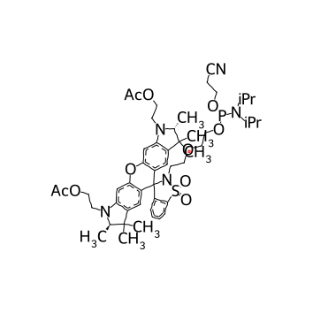 CC(=O)OCCN1c2cc3c(cc2C(C)(C)[C@H]1C)C1(c2cc4c(cc2O3)N(CCOC(C)=O)[C@H](C)C4(C)C)c2ccccc2S(=O)(=O)N1CCOCCOP(OCCC#N)N(C(C)C)C(C)C